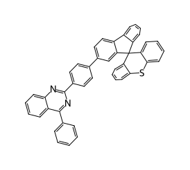 c1ccc(-c2nc(-c3ccc(-c4ccc5c(c4)C4(c6ccccc6Sc6ccccc64)c4ccccc4-5)cc3)nc3ccccc23)cc1